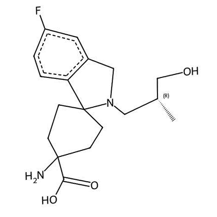 C[C@@H](CO)CN1Cc2cc(F)ccc2C12CCC(N)(C(=O)O)CC2